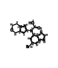 O=C(O)N(c1cc2n(n1)CCOC2)c1cc(Br)cn2ncnc12